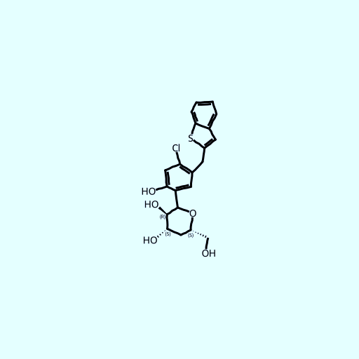 OC[C@@H]1C[C@H](O)[C@@H](O)C(c2cc(Cc3cc4ccccc4s3)c(Cl)cc2O)O1